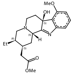 CC[C@H]1CN2CC[C@@]3(O)C(=Nc4cccc(OC)c43)[C@@H]2C[C@H]1CC(=O)OC